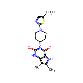 Cc1[nH]c2c(=O)n(C3CCN(c4ncc(C(=O)O)s4)CC3)c(=O)[nH]c2c1C#N